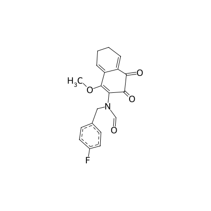 COC1=C(N(C=O)Cc2ccc(F)cc2)C(=O)C(=O)C2=CCCC=C21